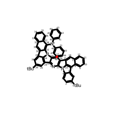 CC(C)(C)c1ccc2c(c1)c1c3ccccc3cc3c4cc5c(nc4n2c31)c1cc(C(C)(C)C)cc2c3cc4ccccc4c(N(c4ccccc4)c4ccccc4)c3n5c21